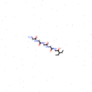 CCC(CC)C(=O)CNC(=O)CNC(=O)CNC(=O)CNC(=O)CN